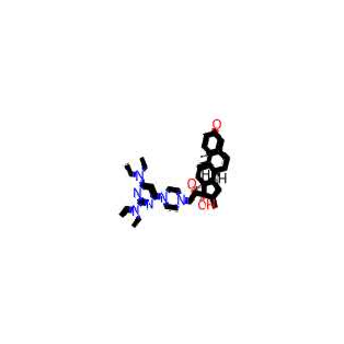 CCN(CC)c1cc(N2CCN(CC(=O)[C@@]3(O)C(C)C[C@H]4[C@@H]5CCC6=CC(=O)C=C[C@]6(C)C5=CC[C@@]43C)CC2)nc(N(CC)CC)n1